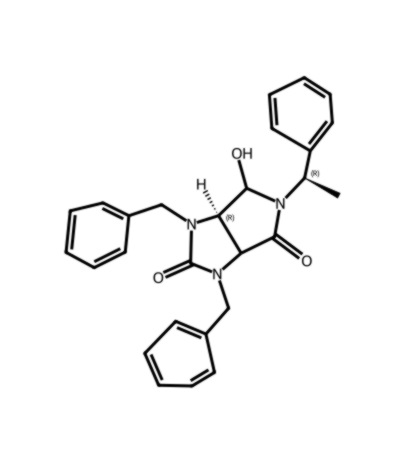 C[C@H](c1ccccc1)N1C(=O)C2[C@H](C1O)N(Cc1ccccc1)C(=O)N2Cc1ccccc1